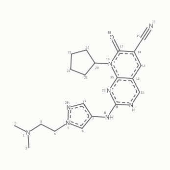 CN(C)CCn1cc(Nc2ncc3cc(C#N)c(=O)n(C4CCCC4)c3n2)cn1